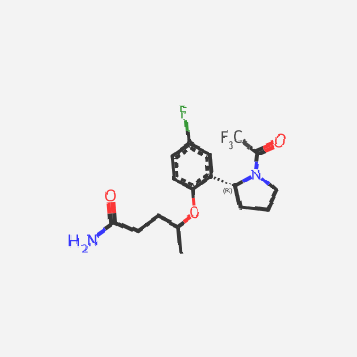 CC(CCC(N)=O)Oc1ccc(F)cc1[C@H]1CCCN1C(=O)C(F)(F)F